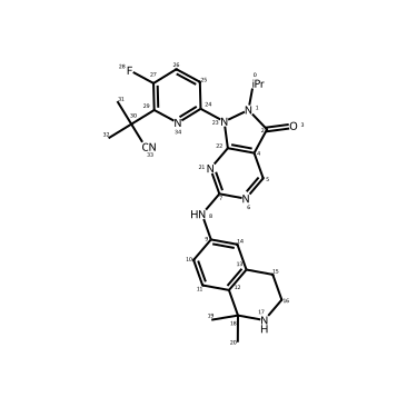 CC(C)n1c(=O)c2cnc(Nc3ccc4c(c3)CCNC4(C)C)nc2n1-c1ccc(F)c(C(C)(C)C#N)n1